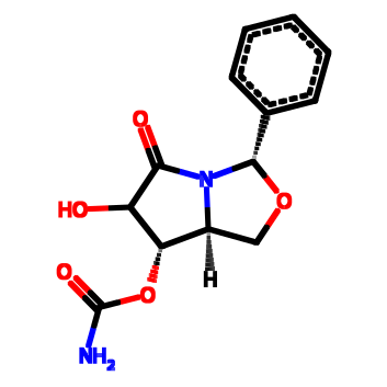 NC(=O)O[C@@H]1C(O)C(=O)N2[C@H](c3ccccc3)OC[C@@H]12